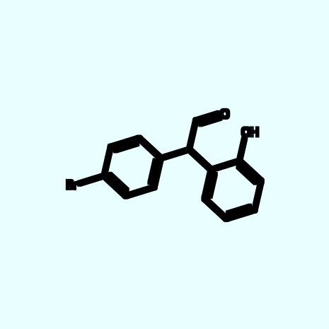 O=CC(c1ccc(Br)cc1)c1ccccc1O